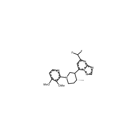 COc1ccnc(N2CC[C@@H](C)C(c3cc(C(F)F)nc4ncnn34)C2)c1OC